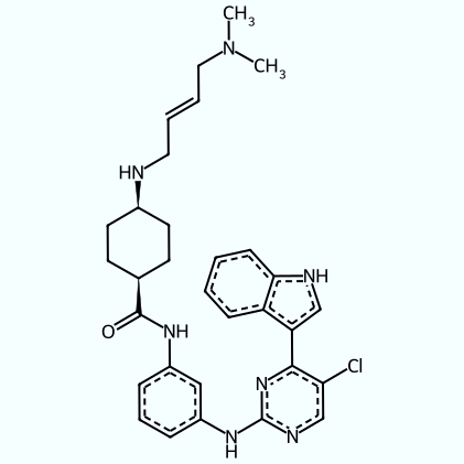 CN(C)C/C=C/CN[C@H]1CC[C@@H](C(=O)Nc2cccc(Nc3ncc(Cl)c(-c4c[nH]c5ccccc45)n3)c2)CC1